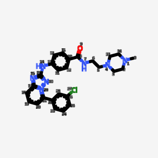 CN1CCN(CCNC(=O)c2ccc(Nc3nc4cccc(-c5cccc(Cl)c5)n4n3)cc2)CC1